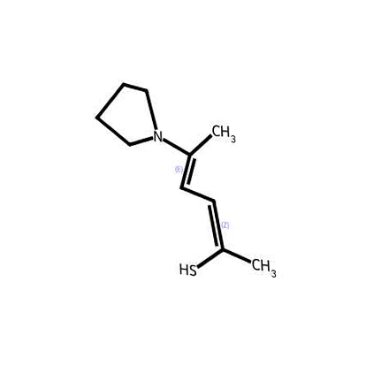 C/C(S)=C/C=C(\C)N1CCCC1